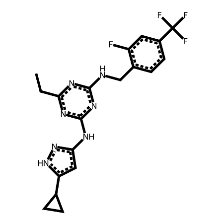 CCc1nc(NCc2ccc(C(F)(F)F)cc2F)nc(Nc2cc(C3CC3)[nH]n2)n1